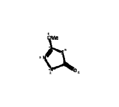 COC1=N[N]C(=O)S1